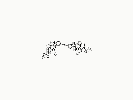 CC(C)(C)OC(=O)N[C@@H](CC1CCC1)C(=O)N1CCC[C@H]1c1nc2cc(C#Cc3ccc4[nH]c([C@@H]5CCCN5C(=O)[C@H](CC5CCC5)NC(=O)OC(C)(C)C)nc4c3)ccc2[nH]1